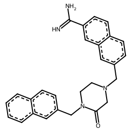 N=C(N)c1ccc2ccc(CN3CCN(Cc4ccc5ccccc5c4)C(=O)C3)cc2c1